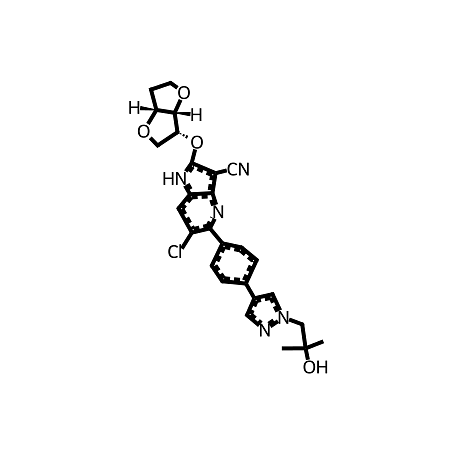 CC(C)(O)Cn1cc(-c2ccc(-c3nc4c(C#N)c(O[C@@H]5CO[C@@H]6CCO[C@@H]65)[nH]c4cc3Cl)cc2)cn1